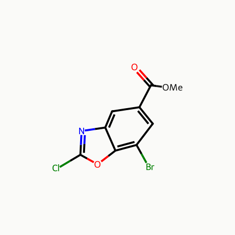 COC(=O)c1cc(Br)c2oc(Cl)nc2c1